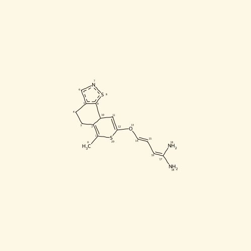 CC1=C2CCc3cnsc3C2C=C(O/C=C/C=C(N)N)S1